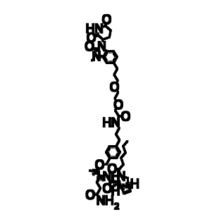 CCCCCC(=O)N1C[C@H]2C=C[C@H]2[C@H]1C(=O)N[C@@H](CCC(N)=O)[C@@H](C)OCc1ccc(CCCNC(=O)COCCOCCCc2ccc3c(c2)n(C)c(=O)n3C2CCC(=O)NC2=O)cc1